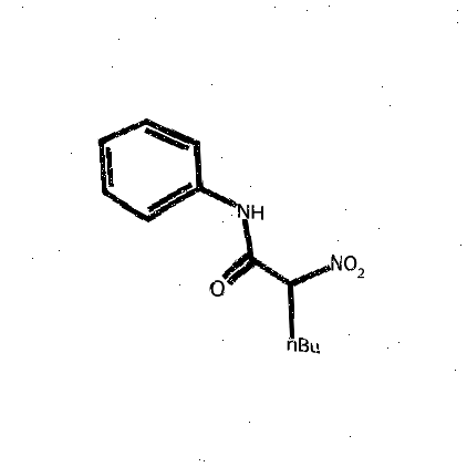 CCCCC(C(=O)Nc1ccccc1)[N+](=O)[O-]